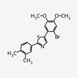 COc1cc(Br)c(-c2cnc(-c3ccc(C)c(C)c3)s2)cc1OC